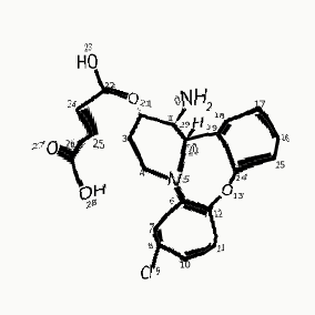 N[C@@H]1CCCN2c3cc(Cl)ccc3Oc3ccccc3[C@@H]12.O=C(O)C=CC(=O)O